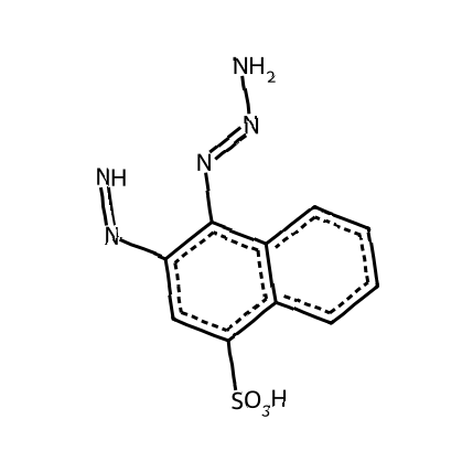 N=Nc1cc(S(=O)(=O)O)c2ccccc2c1N=NN